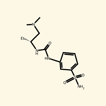 CC[C@H](CN(C)C)NC(=O)Nc1cccc(S(N)(=O)=O)c1